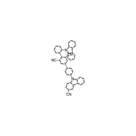 N#Cc1ccc2c(c1)c1ccccc1n2-c1ccc(-c2cc(C#N)c(-c3ccccc3-n3c4ccccc4c4ccccc43)c(C#N)c2)cc1